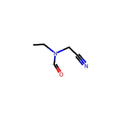 CCN([C]=O)CC#N